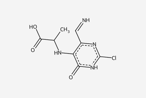 CC(Nc1c(C=N)nc(Cl)[nH]c1=O)C(=O)O